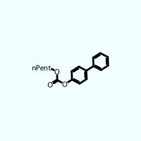 CCCCCOC(=O)Oc1ccc(-c2ccccc2)cc1